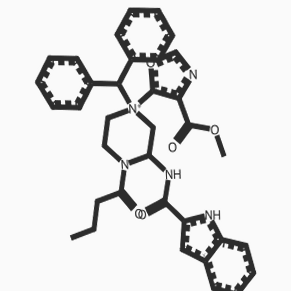 CCCC(=O)N1CC[N+](c2ocnc2C(=O)OC)(C(c2ccccc2)c2ccccc2)CC1NC(=O)c1cc2ccccc2[nH]1